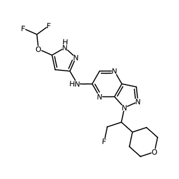 FCC(C1CCOCC1)n1ncc2ncc(Nc3cc(OC(F)F)[nH]n3)nc21